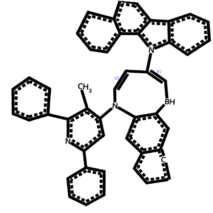 Cc1c(N2/C=C\C(n3c4ccccc4c4ccc5ccccc5c43)=C/Bc3cc4ccccc4cc32)cc(-c2ccccc2)nc1-c1ccccc1